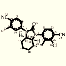 Cc1c(N2C(=O)N(c3ccc(C#N)c(F)c3)[C@@H]3CCCC[C@H]32)ccc(C#N)c1Cl